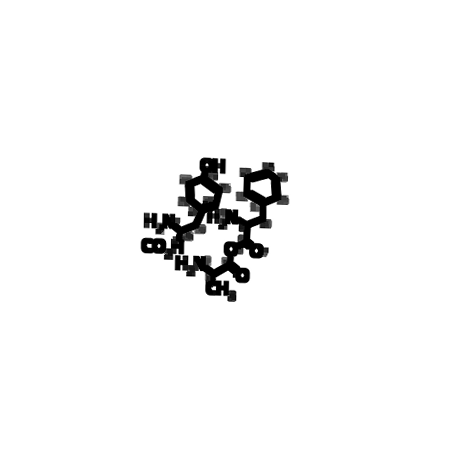 C[C@H](N)C(=O)OC(=O)[C@@H](N)Cc1ccccc1.N[C@@H](Cc1ccc(O)cc1)C(=O)O